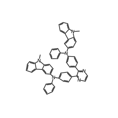 Cn1c2ccccc2c2cc(N(c3ccccc3)c3ccc(-c4nccnc4-c4ccc(N(c5ccccc5)c5ccc6c(c5)c5ccccc5n6C)cc4)cc3)ccc21